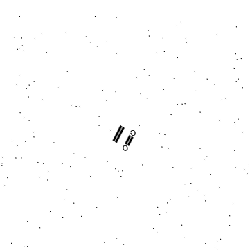 C=C.O=O